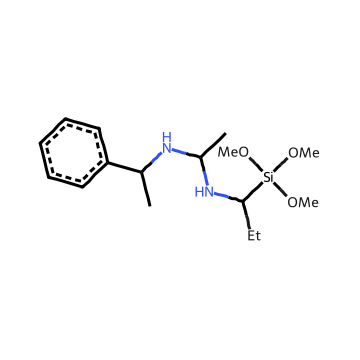 CCC(NC(C)NC(C)c1ccccc1)[Si](OC)(OC)OC